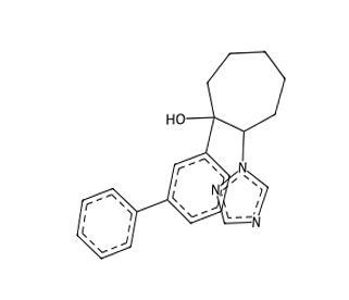 OC1(c2cccc(-c3ccccc3)c2)CCCCCC1n1cncn1